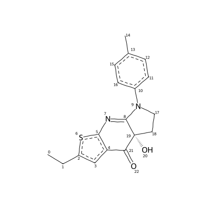 CCc1cc2c(s1)N=C1N(c3ccc(C)cc3)CC[C@@]1(O)C2=O